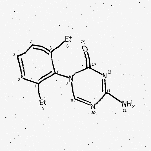 CCc1cccc(CC)c1-n1cnc(N)nc1=O